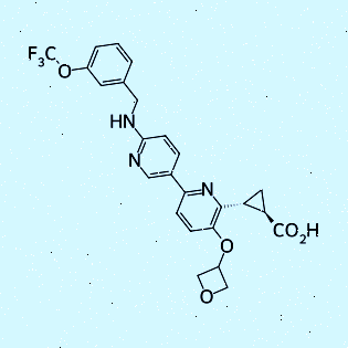 O=C(O)[C@@H]1C[C@H]1c1nc(-c2ccc(NCc3cccc(OC(F)(F)F)c3)nc2)ccc1OC1COC1